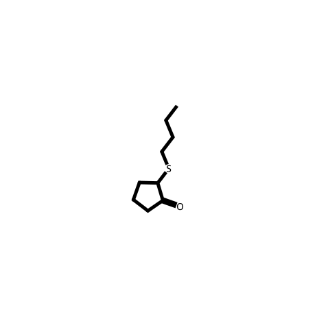 CCCCSC1CCCC1=O